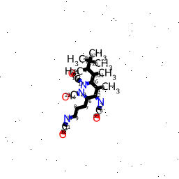 CC(C(N=C=O)C(CCCN=C=O)N=C=O)C(N=C=O)C(C)C(C)C(C)(C)C